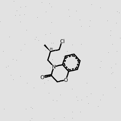 C[C@@H](CCl)CN1C(=O)COc2ccccc21